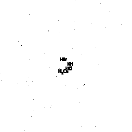 Br.Cl.[CaH2].[KH]